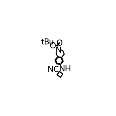 CC(C)(C)OC(=O)N1CCc2cc(NC3(C#N)CCC3)ccc2C1